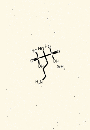 NCCCC(O)(P(=O)(O)O)P(=O)(O)O.[SrH2]